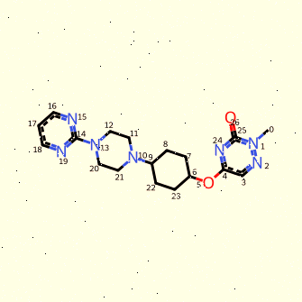 Cn1ncc(OC2CCC(N3CCN(c4ncccn4)CC3)CC2)nc1=O